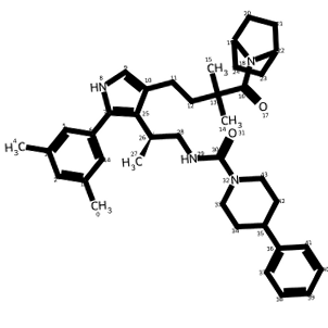 Cc1cc(C)cc(-c2[nH]cc(CCC(C)(C)C(=O)N3C4CCC3CC4)c2[C@H](C)CNC(=O)N2CCC(c3ccccc3)CC2)c1